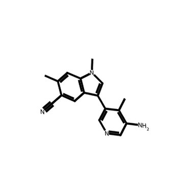 Cc1cc2c(cc1C#N)c(-c1cncc(N)c1C)cn2C